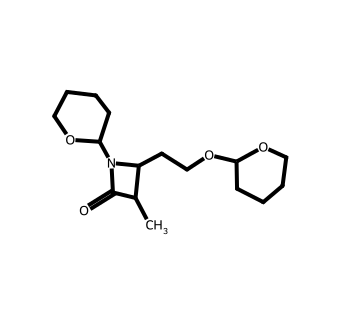 CC1C(=O)N(C2CCCCO2)C1CCOC1CCCCO1